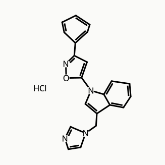 Cl.c1ccc(-c2cc(-n3cc(Cn4ccnc4)c4ccccc43)on2)cc1